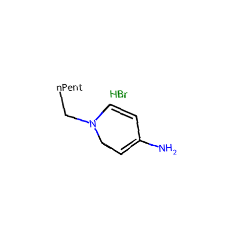 Br.CCCCCCN1C=CC(N)=CC1